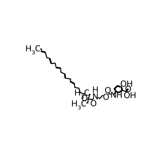 CCC=CCC=CCC=CCC=CCC=CCCCCOC(CC)(CC)C(=O)NCCOC(=O)Nc1ccc(O)c(C(=O)O)c1